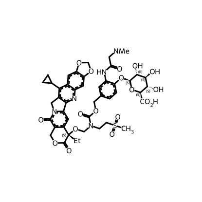 CC[C@@]1(OCN(CCS(C)(=O)=O)C(=O)OCc2ccc(O[C@@H]3O[C@H](C(=O)O)[C@@H](O)[C@H](O)[C@H]3O)c(NC(=O)CNC)c2)C(=O)OCc2c1cc1n(c2=O)Cc2c-1nc1cc3c(cc1c2C1CC1)OCO3